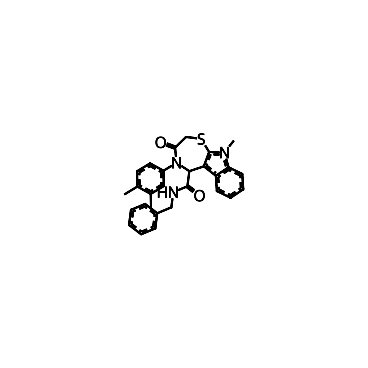 Cc1ccc(N2C(=O)CSc3c(c4ccccc4n3C)C2C(=O)NCc2ccccc2)cc1C